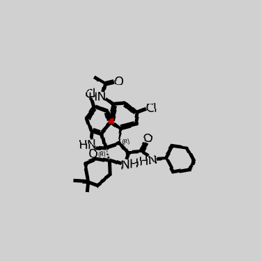 CC(=O)Nc1cc(Cl)cc([C@H]2C(C(=O)NC3CCCCC3)NC3(CCC(C)(C)CC3)[C@@]23C(=O)Nc2cc(Cl)ccc23)c1